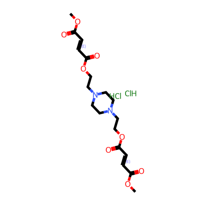 COC(=O)/C=C/C(=O)OCCN1CCN(CCOC(=O)/C=C/C(=O)OC)CC1.Cl.Cl